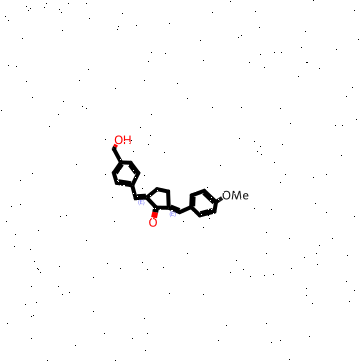 COc1ccc(/C=C2\CC/C(=C\c3ccc(CO)cc3)C2=O)cc1